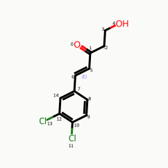 O=C([CH]CO)/C=C/c1ccc(Cl)c(Cl)c1